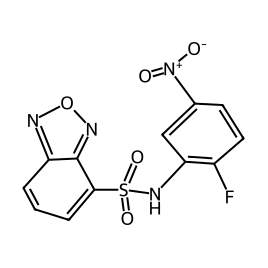 O=[N+]([O-])c1ccc(F)c(NS(=O)(=O)c2cccc3nonc23)c1